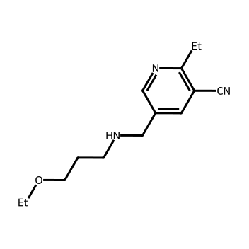 CCOCCCNCc1cnc(CC)c(C#N)c1